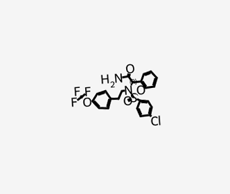 NC(=O)[C@@H](c1ccccc1)N(CCc1ccc(OC(F)(F)F)cc1)S(=O)(=O)c1ccc(Cl)cc1